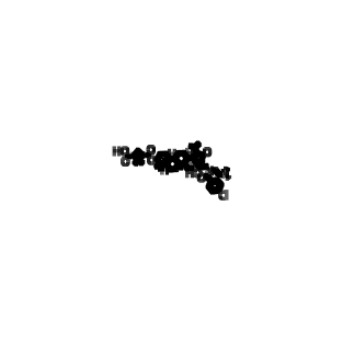 CC(C)C1=C2[C@H]3CC[C@@H]4[C@@]5(C)CC[C@H](OC(=O)[C@@H]6C[C@H](C(=O)O)C6(C)C)C(C)(C)[C@@H]5CC[C@@]4(C)[C@]3(C)CC[C@@]2([C@@H](O)CN(CCN(C)C)C(=O)c2ccc(Cl)cc2)CC1=O